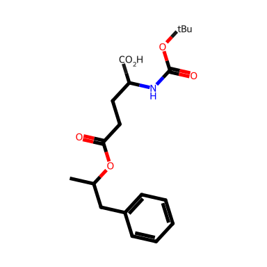 CC(Cc1ccccc1)OC(=O)CCC(NC(=O)OC(C)(C)C)C(=O)O